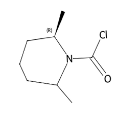 CC1CCC[C@@H](C)N1C(=O)Cl